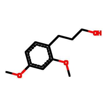 COc1ccc(CCCO)c(OC)c1